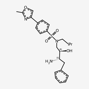 Cc1nc(-c2ccc(S(=O)(=O)N(CC(C)C)C[C@@H](O)[C@@H](N)Cc3ccccc3)cc2)co1